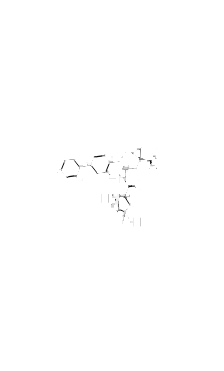 O=C(N[C@H](Cc1ccc(-c2ccccc2)cc1)CC1(C(=O)O)CC1)c1cc(O)n[nH]1